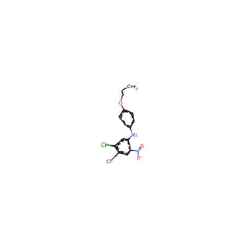 CCCOc1ccc(Nc2cc(Cl)c(Cl)cc2[N+](=O)[O-])cc1